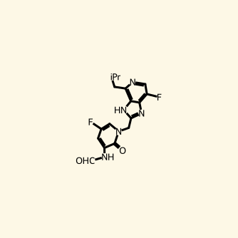 CC(C)Cc1ncc(F)c2nc(Cn3cc(F)cc(NC=O)c3=O)[nH]c12